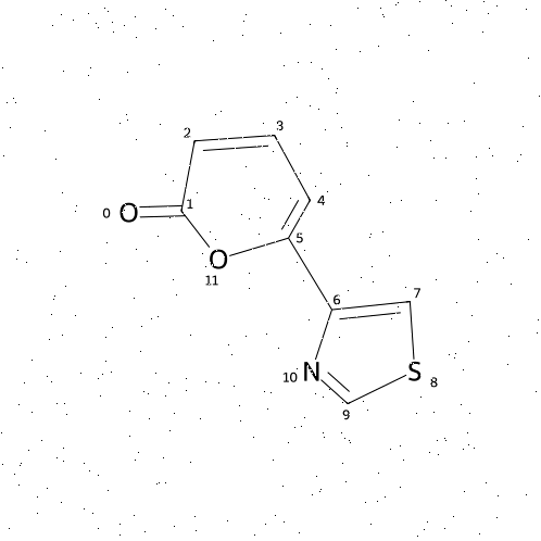 O=c1cccc(-c2cscn2)o1